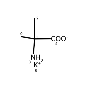 CC(C)(N)C(=O)[O-].[K+]